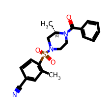 Cc1cc(C#N)ccc1S(=O)(=O)N1CCN(C(=O)c2ccccc2)[C@@H](C)C1